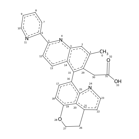 Cc1cc2nc(-c3ccccn3)ccc2c(-c2ccc3c4c(ccnc24)CCO3)c1CC(=O)O